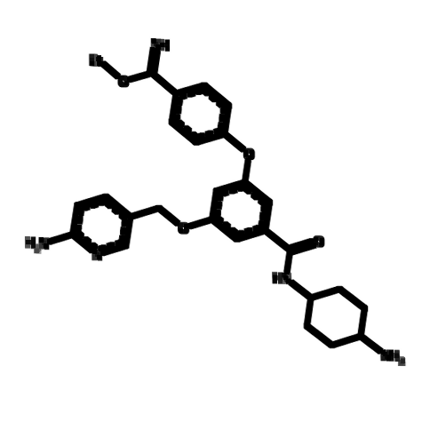 CCOC(=N)c1ccc(Oc2cc(OCc3ccc(N)nc3)cc(C(=O)NC3CCC(N)CC3)c2)cc1